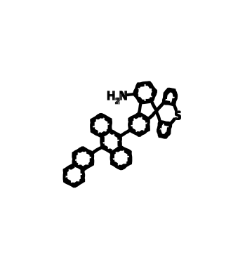 Nc1cccc2c1-c1cc(-c3c4ccccc4c(-c4ccc5ccccc5c4)c4ccccc34)ccc1C21c2ccccc2Sc2ccccc21